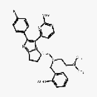 CNc1nccc(-c2c(-c3ccc(F)cc3)nc3n2[C@H](CN(CCN(C)C)Cc2ccccc2OC)CC3)n1